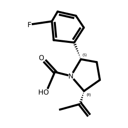 C=C(C)[C@H]1CC[C@@H](c2cccc(F)c2)N1C(=O)O